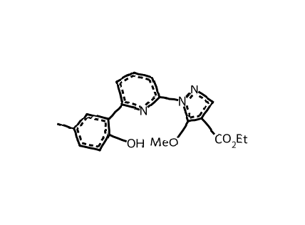 CCOC(=O)c1cnn(-c2cccc(-c3cc(C)ccc3O)n2)c1OC